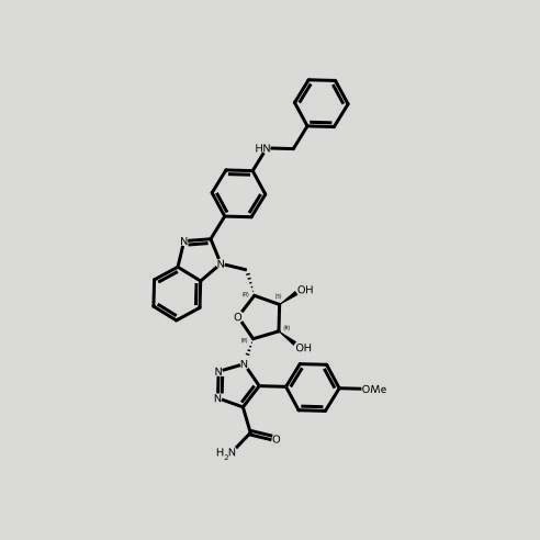 COc1ccc(-c2c(C(N)=O)nnn2[C@@H]2O[C@H](Cn3c(-c4ccc(NCc5ccccc5)cc4)nc4ccccc43)[C@@H](O)[C@H]2O)cc1